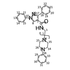 CC(C)(CNC(=O)c1cn(-c2ccccc2)nc1-c1ccccc1)N1CCN(c2ccccc2)CC1